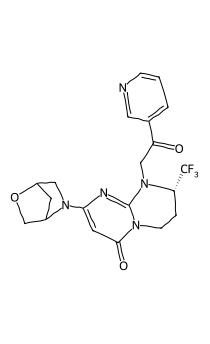 O=C(CN1c2nc(N3CC4CC3CO4)cc(=O)n2CC[C@H]1C(F)(F)F)c1cccnc1